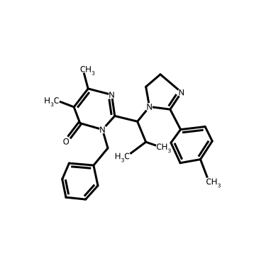 Cc1ccc(C2=NCCN2C(c2nc(C)c(C)c(=O)n2Cc2ccccc2)C(C)C)cc1